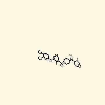 Cc1c(Nc2ccc(Cl)c(Cl)c2)cncc1C(=O)N1CCC(N[C@@H]2CCOC[C@@H]2C)CC1